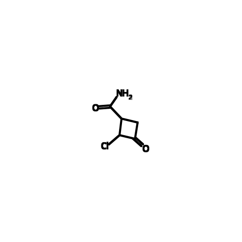 NC(=O)C1CC(=O)C1Cl